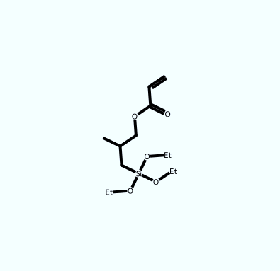 C=CC(=O)OCC(C)C[Si](OCC)(OCC)OCC